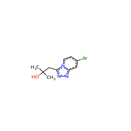 CC(C)(O)Cc1nnc2cc(Br)ccn12